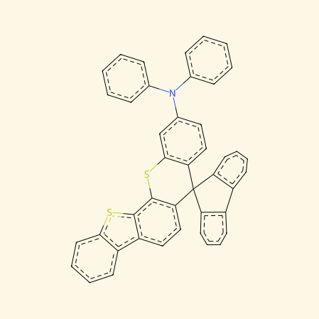 c1ccc(N(c2ccccc2)c2ccc3c(c2)Sc2c(ccc4c2sc2ccccc24)C32c3ccccc3-c3ccccc32)cc1